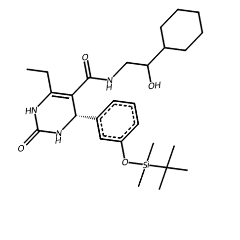 CCC1=C(C(=O)NCC(O)C2CCCCC2)[C@H](c2cccc(O[Si](C)(C)C(C)(C)C)c2)NC(=O)N1